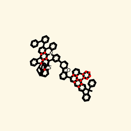 CC1(c2ccccc2)c2ccccc2-c2ccc(N(c3ccc(-c4cccc5c6c(oc45)C=CC(c4ccc(N(c5ccc7c(c5)C5(c8ccccc8-7)C7CC8CC5CC5C(C7)C85)c5ccccc5-c5ccccc5-c5ccccc5-c5ccccc5)c(-c5cccc7c5sc5ccccc57)c4)C6)cc3)c3ccccc3-c3ccccc3-c3ccccc3-c3ccccc3)cc21